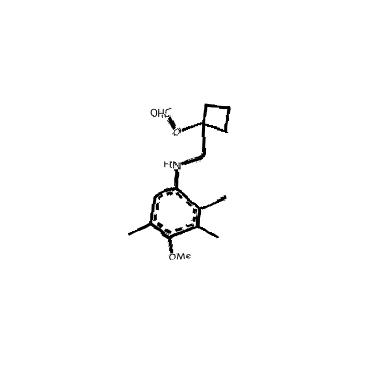 COc1c(C)cc(NCC2(OC=O)CCC2)c(C)c1C